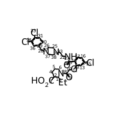 CCC1C(C(=O)O)CCCN1C(=O)COc1cc(Cl)ccc1C(=O)NCCN1CCN(Cc2ccc(Cl)c(Cl)c2)CC1